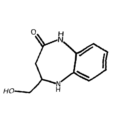 O=C1CC(CO)Nc2ccccc2N1